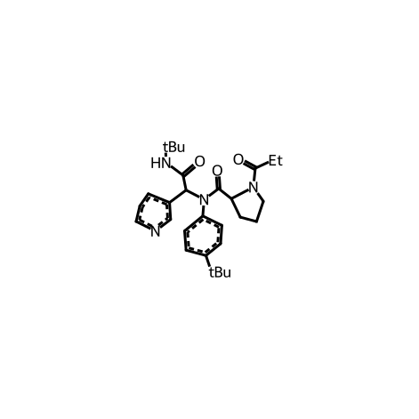 CCC(=O)N1CCCC1C(=O)N(c1ccc(C(C)(C)C)cc1)C(C(=O)NC(C)(C)C)c1cccnc1